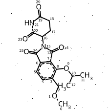 COCc1ccc2c(c1OC(C)C)C(=O)N(C1CCC(=O)NC1=O)C2=O